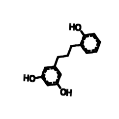 Oc1cc(O)cc(CCCc2ccccc2O)c1